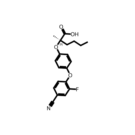 CCCC[C@@](C)(Oc1ccc(Oc2ccc(C#N)cc2F)cc1)C(=O)O